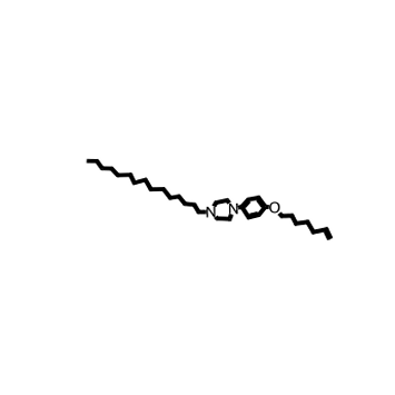 C=CCCCCCOc1ccc(N2CCN(CCCCCCCCCCCCCCC)CC2)cc1